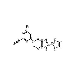 N#Cc1cc(F)cc(C2CCc3oc(-c4ncco4)nc3C2)c1